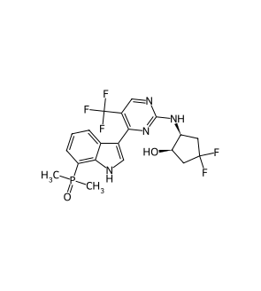 CP(C)(=O)c1cccc2c(-c3nc(N[C@H]4CC(F)(F)C[C@H]4O)ncc3C(F)(F)F)c[nH]c12